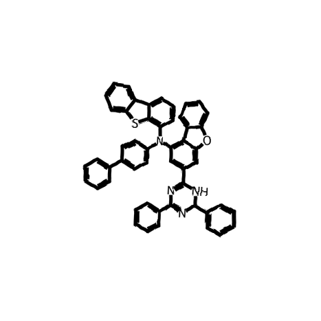 c1ccc(C2=NC(c3ccccc3)NC(c3cc(N(c4ccc(-c5ccccc5)cc4)c4cccc5c4sc4ccccc45)c4c(c3)oc3ccccc34)=N2)cc1